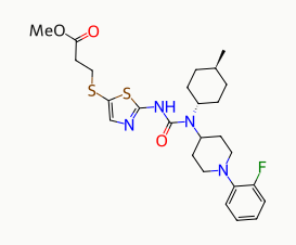 COC(=O)CCSc1cnc(NC(=O)N(C2CCN(c3ccccc3F)CC2)[C@H]2CC[C@H](C)CC2)s1